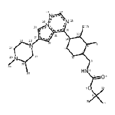 CC1C(CNC(=O)OC(C)(C)C)CCC(c2ncnn3cc(N4CCN(C)C(C)C4)cc23)C1F